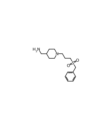 NCC1CCN(CCCS(=O)(=O)Cc2ccccc2)CC1